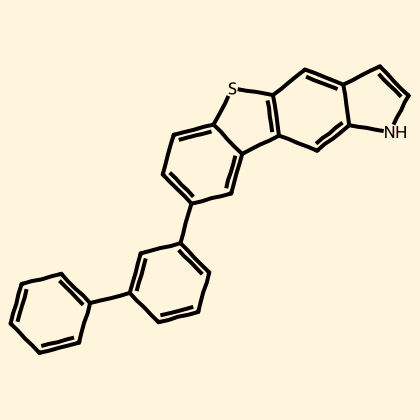 c1ccc(-c2cccc(-c3ccc4sc5cc6cc[nH]c6cc5c4c3)c2)cc1